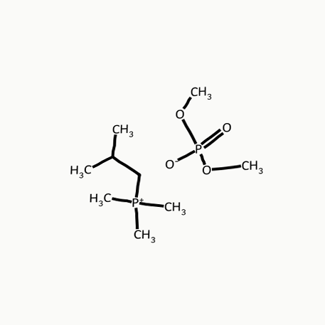 CC(C)C[P+](C)(C)C.COP(=O)([O-])OC